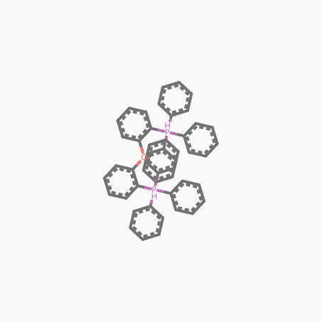 c1ccc([PH](c2ccccc2)(c2ccccc2)c2ccccc2Oc2ccccc2[PH](c2ccccc2)(c2ccccc2)c2ccccc2)cc1